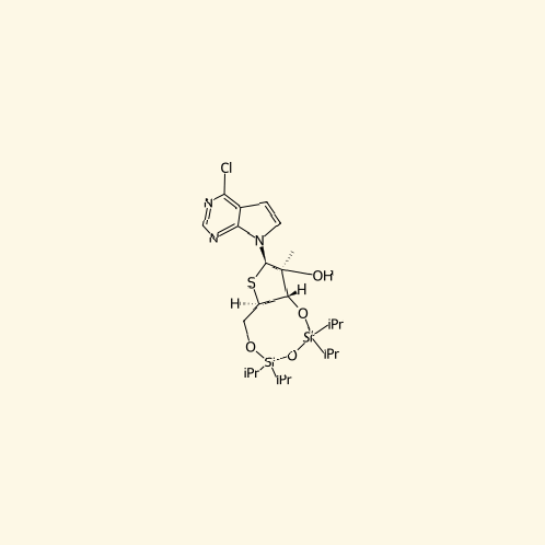 CC(C)[Si]1(C(C)C)OC[C@H]2S[C@@H](n3ccc4c(Cl)ncnc43)[C@@](C)(O)[C@@H]2O[Si](C(C)C)(C(C)C)O1